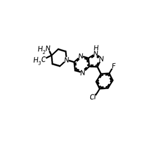 CC1(N)CCN(c2cnc3c(-c4cc(Cl)ccc4F)n[nH]c3n2)CC1